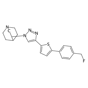 FCc1ccc(-c2ccc(-c3cn(C4CN5CCC4CC5)nn3)s2)cc1